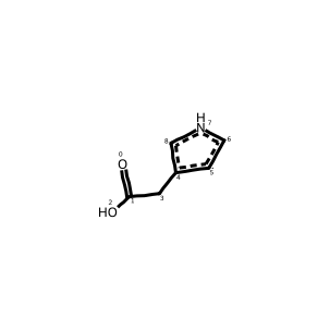 O=C(O)Cc1[c]c[nH]c1